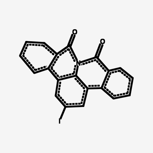 O=c1c2ccccc2c2cc(I)cc3c4ccccc4c(=O)n1c23